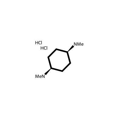 CN[C@H]1CC[C@@H](NC)CC1.Cl.Cl